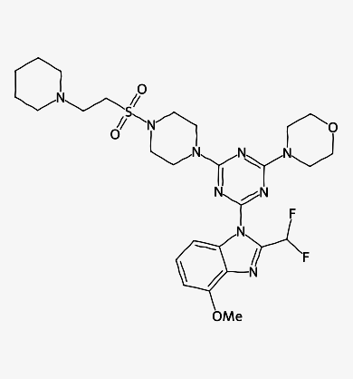 COc1cccc2c1nc(C(F)F)n2-c1nc(N2CCOCC2)nc(N2CCN(S(=O)(=O)CCN3CCCCC3)CC2)n1